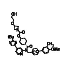 COc1ccc(C23CCC(CN(c4cc(-c5cnc(C(C)(C)C)s5)ccn4)C(=O)[C@H]4CC[C@H](OC(=O)N5CC(OCCO)C5)CC4)(CC2)CC3)cc1C